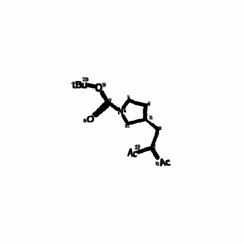 CC(=O)C(C[C@@H]1CCN(C(=O)OC(C)(C)C)C1)C(C)=O